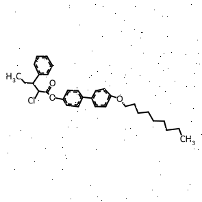 CCCCCCCCCOc1ccc(-c2ccc(OC(=O)C(Cl)C(CC)c3ccccc3)cc2)cc1